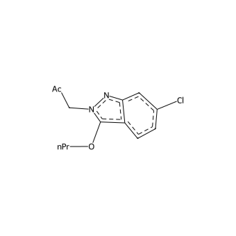 CCCOc1c2ccc(Cl)cc2nn1CC(C)=O